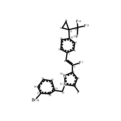 Cc1cc(/C(F)=C/c2ccc(C3(C(F)(F)F)CC3)cc2)nn1Cc1cccc(Br)c1